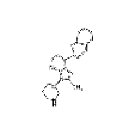 Cc1nc2c(-c3ccc4ccccc4c3)ccnc2n1[C@@H]1CCCNC1